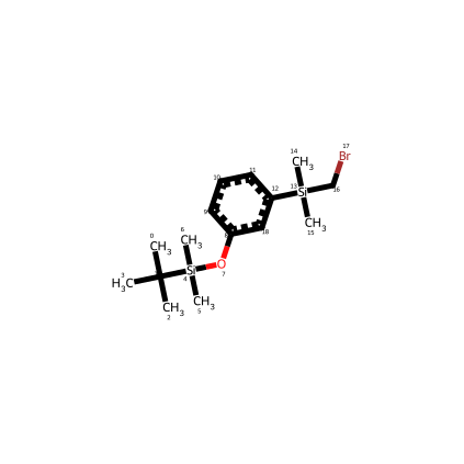 CC(C)(C)[Si](C)(C)Oc1cccc([Si](C)(C)CBr)c1